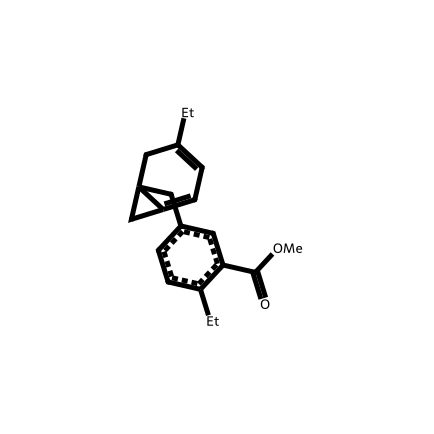 CCC1=CC=C2CC2(Cc2ccc(CC)c(C(=O)OC)c2)C1